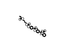 C=CC(=O)OCCCCOC(=O)Oc1ccc(C(=O)Oc2ccc(-c3nc4ccccc4c(=O)o3)cc2C)cc1